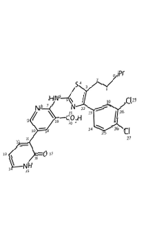 CC(C)CCc1sc(Nc2ncc(-c3ccc[nH]c3=O)cc2C(=O)O)nc1-c1ccc(Cl)c(Cl)c1